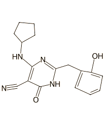 N#Cc1c(NC2CCCC2)nc(Cc2ccccc2O)[nH]c1=O